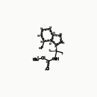 CC(C)(C)OC(=O)NC(C)(C)c1ncc2cccc(F)n12